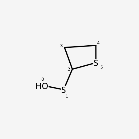 OSC1CCS1